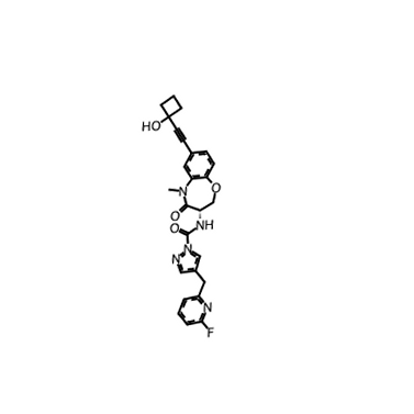 CN1C(=O)[C@@H](NC(=O)n2cc(Cc3cccc(F)n3)cn2)COc2ccc(C#CC3(O)CCC3)cc21